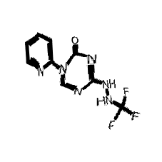 O=c1nc(NNC(F)(F)F)ncn1-c1ccccn1